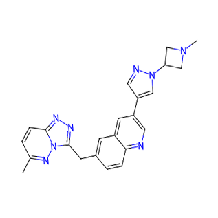 Cc1ccc2nnc(Cc3ccc4ncc(-c5cnn(C6CN(C)C6)c5)cc4c3)n2n1